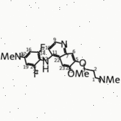 CNCCCOc1cc2nccc(Nc3c(F)cc(NC)cc3F)c2cc1OC